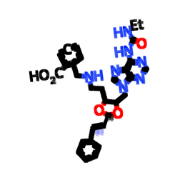 CCNC(=O)Nc1ncnc2c1ncn2CC1O[C@@H](/C=C/c2ccccc2)OC1CCNCc1ccccc1C(=O)O